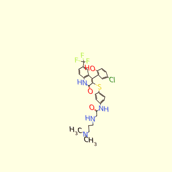 CN(C)CCCNCC(=O)Nc1ccc(Sc2c(-c3cc(Cl)ccc3O)c3cc(C(F)(F)F)ccc3[nH]c2=O)cc1